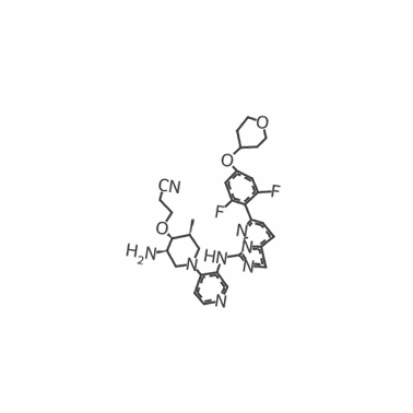 C[C@H]1CN(c2ccncc2Nc2ncc3ccc(-c4c(F)cc(OC5CCOCC5)cc4F)nn23)C[C@@H](N)[C@H]1OCCC#N